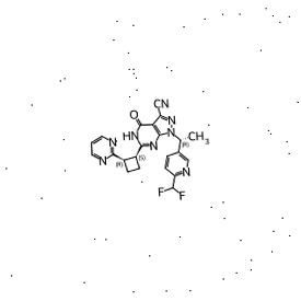 C[C@H](c1ccc(C(F)F)nc1)n1nc(C#N)c2c(=O)[nH]c([C@H]3CC[C@H]3c3ncccn3)nc21